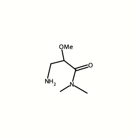 COC(CN)C(=O)N(C)C